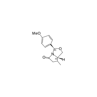 COc1ccc([C@H]2OC[C@@H]3C(C)CC(=O)N23)cc1